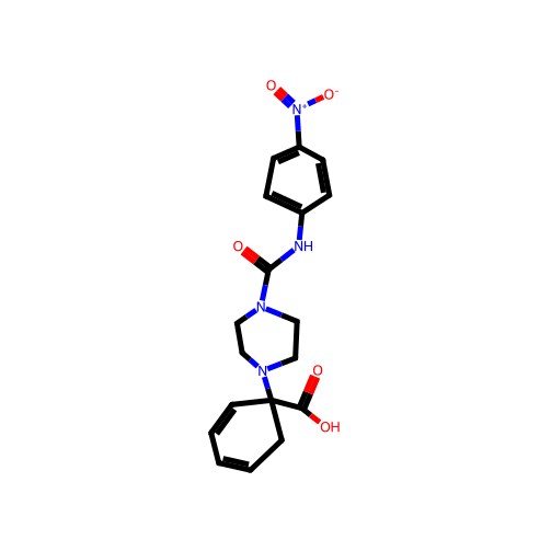 O=C(Nc1ccc([N+](=O)[O-])cc1)N1CCN(C2(C(=O)O)C=CC=CC2)CC1